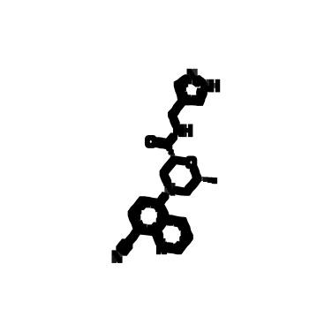 C[C@@H]1CN(c2ccc(C#N)c3ncccc23)C[C@H](C(=O)NCc2cn[nH]c2)O1